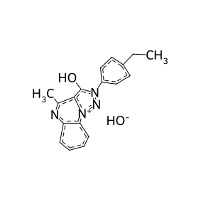 CCc1ccc(-n2n[n+]3c(c(C)nc4ccccc43)c2O)cc1.[OH-]